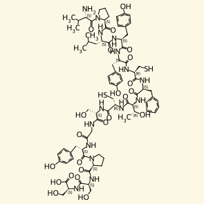 CC(C)C[C@H](NC(=O)[C@@H]1CCCN1C(=O)[C@@H](N)C(C)C)C(=O)N[C@@H](Cc1ccc(O)cc1)C(=O)N[C@@H](Cc1ccc(O)cc1)C(=O)N[C@@H](CS)C(=O)N[C@@H](Cc1ccccc1)C(=O)N[C@H](C(=O)N[C@@H](CS)C(=O)N[C@@H](CO)C(=O)NCC(=O)N[C@@H](Cc1ccc(O)cc1)C(=O)N1CCC[C@H]1C(=O)N[C@@H](CO)C(=O)N[C@@H](CO)C(=O)O)[C@@H](C)O